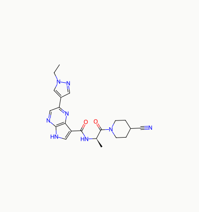 CCn1cc(-c2cnc3[nH]cc(C(=O)N[C@H](C)C(=O)N4CCC(C#N)CC4)c3n2)cn1